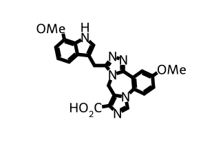 COc1ccc2c(c1)-c1nnc(Cc3c[nH]c4c(OC)cccc34)n1Cc1c(C(=O)O)ncn1-2